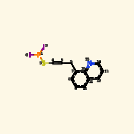 IP(I)SC#CCc1cccc2cccnc12